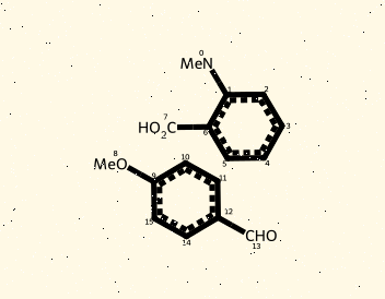 CNc1ccccc1C(=O)O.COc1ccc(C=O)cc1